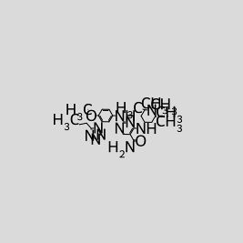 CCCc1nnnn1-c1cc(Nc2ncc(C(N)=O)c(NC3CC(C)(C)N(C)C(C)(C)C3)n2)ccc1OC